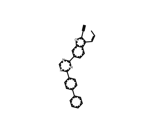 C#Cc1oc2cc(-c3ncnc(-c4ccc(-c5ccccc5)cc4)n3)ccc2c1/C=C\C